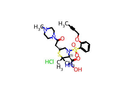 CC#CCOc1ccccc1S(=O)(=O)N1C[C@H](CC(=O)N2CCN(C)CC2)SC(C)(C)[C@@H]1C(=O)NO.Cl